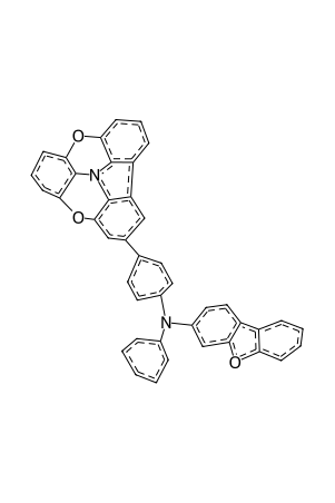 c1ccc(N(c2ccc(-c3cc4c5c(c3)c3cccc6c3n5-c3c(cccc3O4)O6)cc2)c2ccc3c(c2)oc2ccccc23)cc1